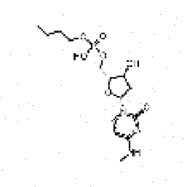 CCCCOP(=O)(O)OC[C@H]1O[C@@H](n2ccc(NC)nc2=O)C[C@@H]1O